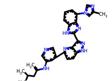 C=C(CC(C)C)Nc1cncc(-c2ccc3[nH]nc(-c4nc5c(-n6cnc(C)c6)cccc5[nH]4)c3n2)c1